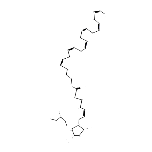 CC/C=C\C/C=C\C/C=C\C/C=C\C/C=C\C/C=C\CCCOC(=O)CCC/C=C\C[C@@H]1[C@@H](CC[C@H](CCCCCCC)COC(C)=O)[C@H](OC(C)=O)C[C@@H]1OC(C)=O